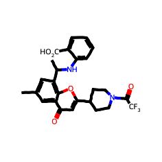 Cc1cc(C(C)Nc2ccccc2C(=O)O)c2oc(C3CCN(C(=O)C(F)(F)F)CC3)cc(=O)c2c1